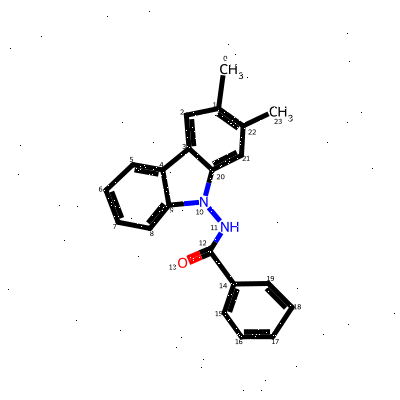 Cc1cc2c3ccccc3n(NC(=O)c3ccccc3)c2cc1C